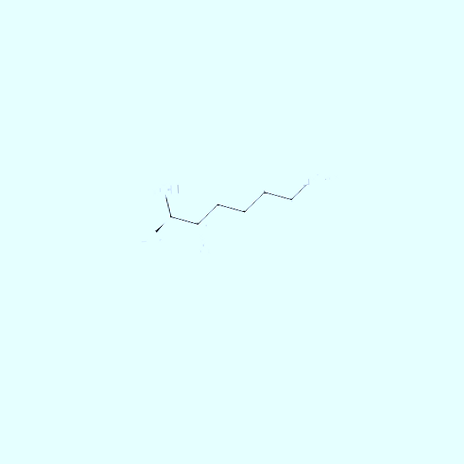 CCCCCCCCC[C@H](O)[C@H](O)CC